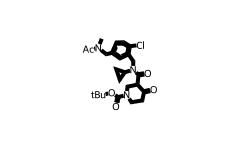 CC(=O)N(C)Cc1ccc(Cl)c(CN(C(=O)C2CN(C(=O)OC(C)(C)C)CCC2=O)C2CC2)c1